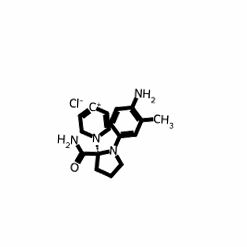 Cc1cc(N2CCC[C@]2(C(N)=O)N2C=C[C+]=CC2)ccc1N.[Cl-]